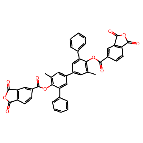 Cc1cc(-c2cc(C)c(OC(=O)c3ccc4c(c3)C(=O)OC4=O)c(-c3ccccc3)c2)cc(-c2ccccc2)c1OC(=O)c1ccc2c(c1)C(=O)OC2=O